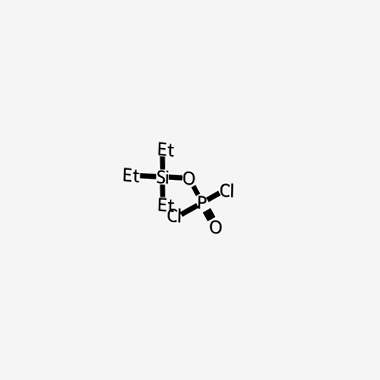 CC[Si](CC)(CC)OP(=O)(Cl)Cl